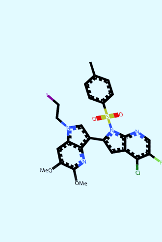 COc1cc2c(nc1OC)c(-c1cc3c(Cl)c(F)cnc3n1S(=O)(=O)c1ccc(C)cc1)cn2CCI